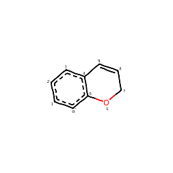 [c]1cccc2c1OCC=C2